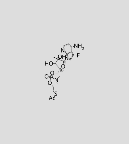 CC(=O)SCCOP(=O)(OC[C@H]1O[C@@H](n2cc(F)c3c(N)ccnc32)[C@@](C)(O)C1O)N(C)C